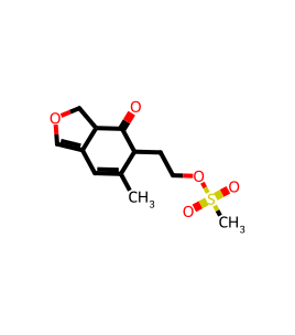 CC1=CC2=COCC2C(=O)C1CCOS(C)(=O)=O